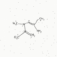 C=C(N(C)/N=C(/C)N)C(Cl)(Cl)Cl